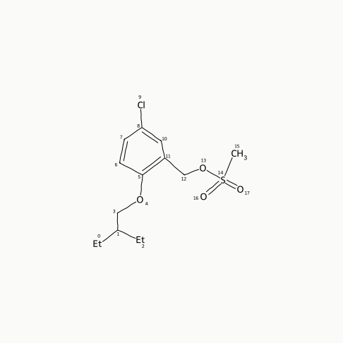 CCC(CC)COc1ccc(Cl)cc1COS(C)(=O)=O